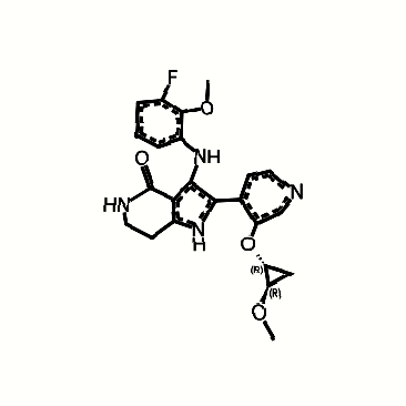 COc1c(F)cccc1Nc1c(-c2ccncc2O[C@@H]2C[C@H]2OC)[nH]c2c1C(=O)NCC2